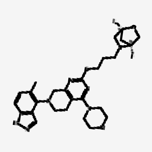 Cc1ccc2[nH]ncc2c1N1CCc2c(nc(OCCCN3C[C@@H]4C[C@H]3CO4)nc2N2CCNCC2)C1